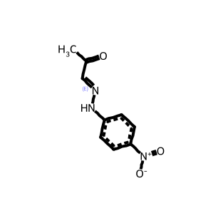 CC(=O)/C=N/Nc1ccc([N+](=O)[O-])cc1